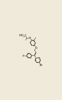 Cc1cc(OC/C=C(\c2ccc(F)cc2)c2ccc(Br)cc2)ccc1OC(C)C(=O)O